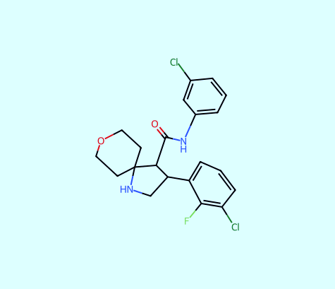 O=C(Nc1cccc(Cl)c1)C1C(c2cccc(Cl)c2F)CNC12CCOCC2